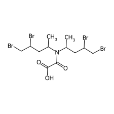 CC(CC(Br)CBr)N(C(=O)C(=O)O)C(C)CC(Br)CBr